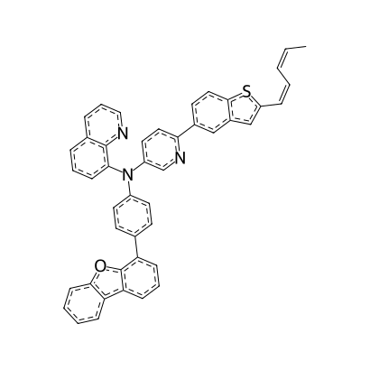 C/C=C\C=C/c1cc2cc(-c3ccc(N(c4ccc(-c5cccc6c5oc5ccccc56)cc4)c4cccc5cccnc45)cn3)ccc2s1